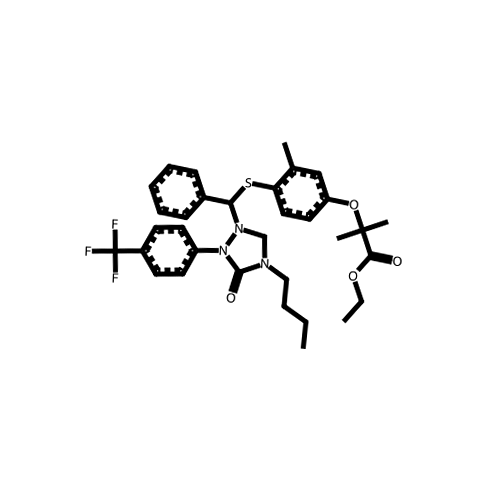 CCCCN1CN(C(Sc2ccc(OC(C)(C)C(=O)OCC)cc2C)c2ccccc2)N(c2ccc(C(F)(F)F)cc2)C1=O